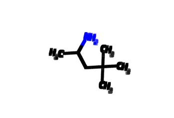 CC(N)CC(C)(C)C